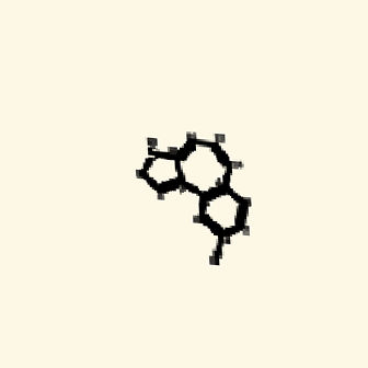 Fc1ccc2c(c1)C1=CCSC1=CC=C2